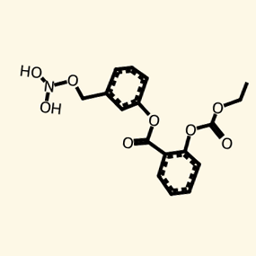 CCOC(=O)Oc1ccccc1C(=O)Oc1cccc(CON(O)O)c1